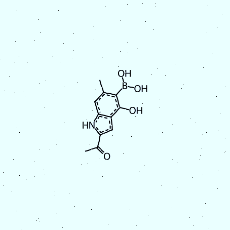 CC(=O)c1cc2c(O)c(B(O)O)c(C)cc2[nH]1